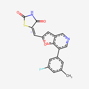 Cc1cc(F)cc(-c2cncc3cc(/C=C4/SC(=O)NC4=O)oc23)c1